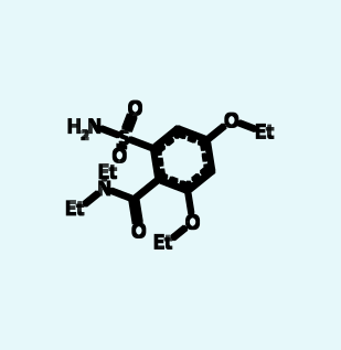 CCOc1cc(OCC)c(C(=O)N(CC)CC)c(S(N)(=O)=O)c1